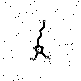 Cc1cc(CCCCCl)nn1C